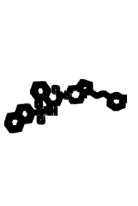 O=C(CC(NS(=O)(=O)c1ccc2ccccc2c1)c1ccccc1)N1CCn2c(CCc3cccnc3)ccc2C1